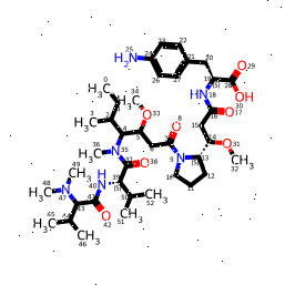 CCC(C)C(C(CC(=O)N1CCC[C@H]1C(CC(=O)N[C@@H](Cc1ccc(N)cc1)C(=O)O)OC)OC)N(C)C(=O)[C@@H](NC(=O)C(C(C)C)N(C)C)C(C)C